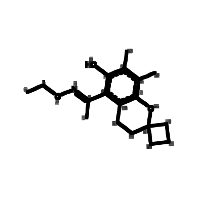 CCO/N=C(\C)c1c(O)c(C)c(C)c2c1CCC1(CCC1)O2